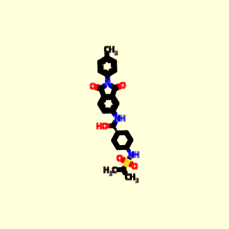 Cc1ccc(N2C(=O)c3ccc(NC(O)[C@H]4CC[C@H](NS(=O)(=O)C(C)C)CC4)cc3C2=O)cc1